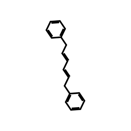 [C](=CC=[C]Cc1ccccc1)Cc1ccccc1